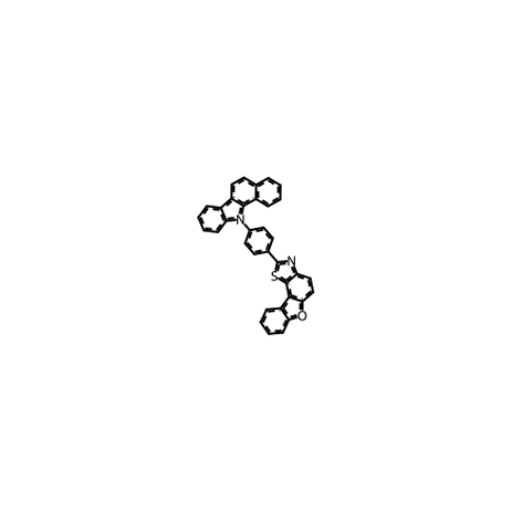 c1ccc2c(c1)ccc1c3ccccc3n(-c3ccc(-c4nc5ccc6oc7ccccc7c6c5s4)cc3)c21